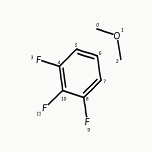 COC.Fc1cccc(F)c1F